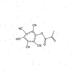 C=C(C)C(=O)Oc1c(C#N)c(C#N)c(O)c(C#N)c1C#N